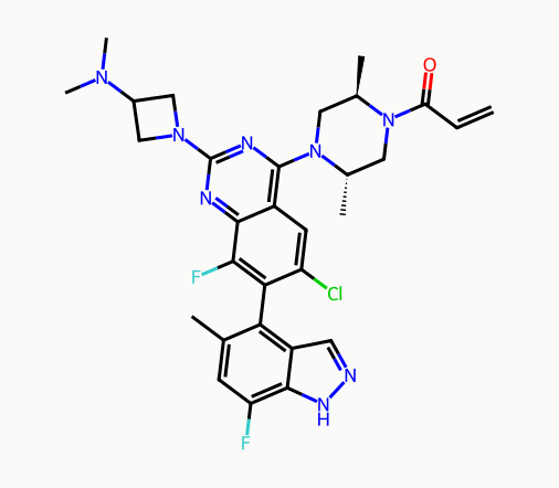 C=CC(=O)N1C[C@H](C)N(c2nc(N3CC(N(C)C)C3)nc3c(F)c(-c4c(C)cc(F)c5[nH]ncc45)c(Cl)cc23)C[C@H]1C